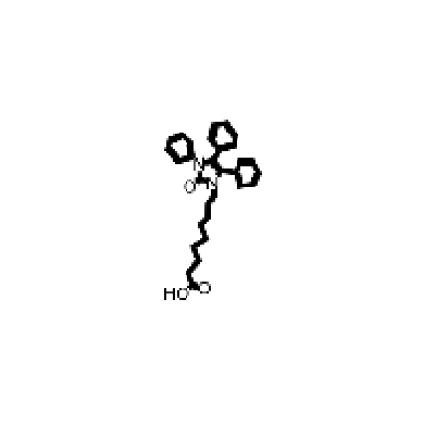 O=C(O)CCCCCCCCn1c(-c2ccccc2)c(-c2ccccc2)n(-c2ccccc2)c1=O